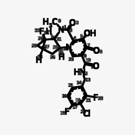 CN1C(=O)c2c(O)c(=O)c(C(=O)NCc3ccc(F)c(Cl)c3F)cn2[C@H]2C[C@@H]3C[C@]3(F)[C@H]21